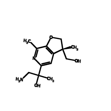 Cc1nc(C(C)(O)CN)cc2c1OC[C@]2(C)CO